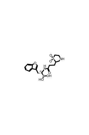 O=C(CCC1CNCCS1(=O)=O)N[C@@H](Cc1coc2ccccc12)B(O)O